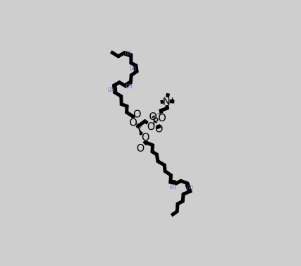 CC/C=C\C/C=C\C/C=C\C/C=C\CCCCC(=O)O[C@H](COC(=O)CCCCCCC/C=C\C/C=C\CCCCC)COP(=O)([O-])OCC[N+](C)(C)C